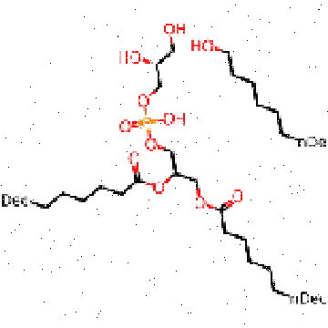 CCCCCCCCCCCCCCCC(=O)OCC(COP(=O)(O)OC[C@@H](O)CO)OC(=O)CCCCCCCCCCCCCCC.CCCCCCCCCCCCCCCCO